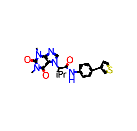 CC(C)C(C(=O)Nc1ccc(-c2ccsc2)cc1)n1cnc2c1c(=O)n(C)c(=O)n2C